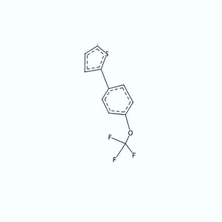 FC(F)(F)Oc1ccc(-c2cc[c]s2)cc1